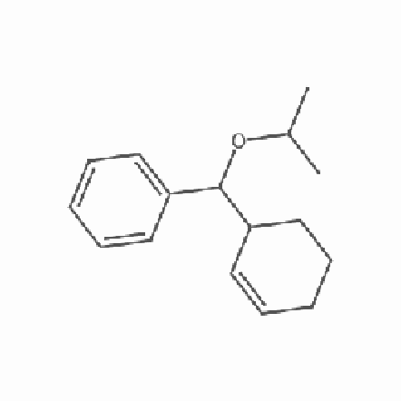 CC(C)OC(c1ccccc1)C1C=CCCC1